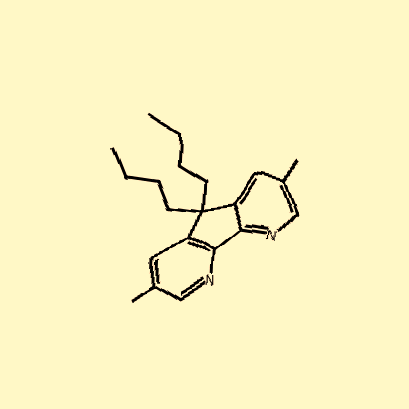 CCCCC1(CCCC)c2cc(C)cnc2-c2ncc(C)cc21